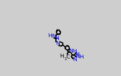 CCc1c(-c2ccnc3[nH]ncc23)[nH]c2ccc(C3CCN(Cc4c[nH]c(-c5ccccc5)n4)CC3)cc12